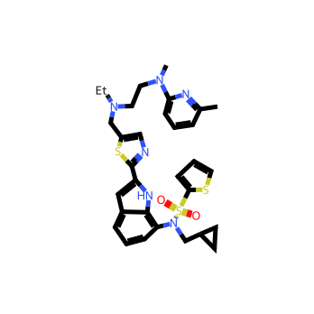 CCN(CCN(C)c1cccc(C)n1)Cc1cnc(-c2cc3cccc(N(CC4CC4)S(=O)(=O)c4cccs4)c3[nH]2)s1